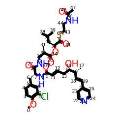 COc1ccc(C[C@@H](NC(=O)/C=C/C[C@H](O)[C@H](C)/C=C/c2ccncc2)C(=O)NC[C@@H](C)C(=O)O[C@@H](CC(C)C)C(=O)SCCNC(C)=O)cc1Cl